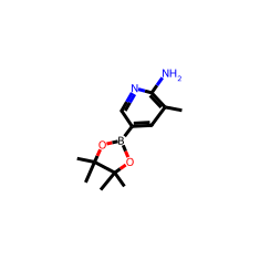 Cc1cc(B2OC(C)(C)C(C)(C)O2)cnc1N